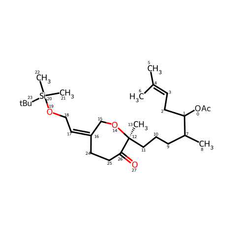 CC(=O)OC(CC=C(C)C)C(C)CCC[C@]1(C)OCC(=CCO[Si](C)(C)C(C)(C)C)CCC1=O